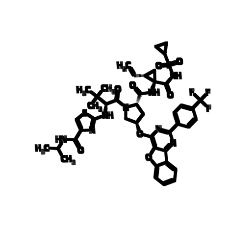 C=C[C@@H]1C[C@]1(NC(=O)[C@@H]1C[C@@H](Oc2nc(-c3ccc(C(F)(F)F)cc3)nc3c2oc2ccccc23)CN1C(=O)[C@@H](Nc1nc(C(=O)NC(C)C)cs1)C(C)(C)C)C(=O)NS(=O)(=O)C1CC1